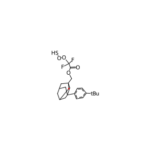 CC(C)(C)c1ccc(C23CC4CC(CC(COC(=O)C(F)(F)OOS)(C4)C2)C3)cc1